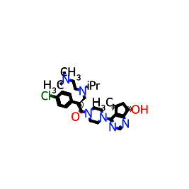 CC(C)N(CCN(C)C)C[C@@H](C(=O)N1CCN(c2ncnc3c2[C@H](C)C[C@H]3O)CC1)c1ccc(Cl)cc1